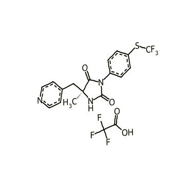 C[C@@]1(Cc2ccncc2)NC(=O)N(c2ccc(SC(F)(F)F)cc2)C1=O.O=C(O)C(F)(F)F